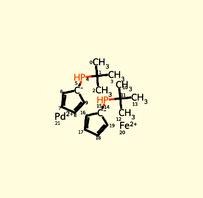 CC(C)(C)P[c-]1cccc1.CC(C)(C)P[c-]1cccc1.[Fe+2].[Pd+2]